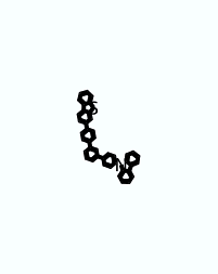 c1cc(-c2ccc(-c3ccc4c(c3)sc3ccccc34)cc2)cc(-c2ccc(-n3c4ccccc4c4ccccc43)cc2)c1